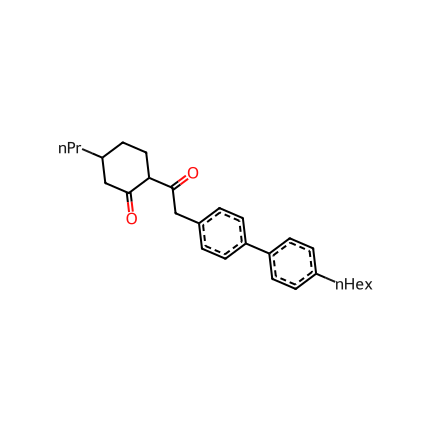 CCCCCCc1ccc(-c2ccc(CC(=O)C3CCC(CCC)CC3=O)cc2)cc1